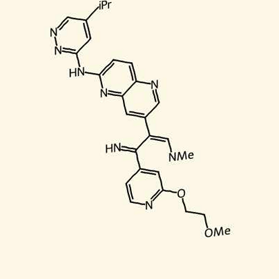 CN/C=C(\C(=N)c1ccnc(OCCOC)c1)c1cnc2ccc(Nc3cc(C(C)C)cnn3)nc2c1